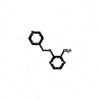 O=C(O)c1nccnc1SCc1ccncc1